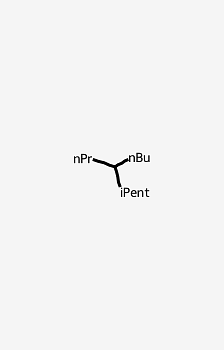 CCCCC(CCC)C(C)CCC